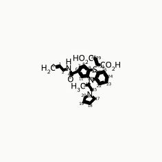 C=CCNC(=O)c1ccc2c(c1)N(C(C)CN1CC=CC1)c1ccccc1S2.O=C(O)/C=C/C(=O)O